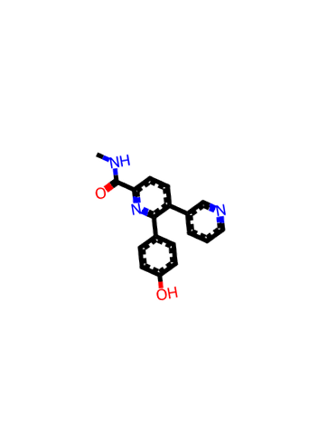 CNC(=O)c1ccc(-c2cccnc2)c(-c2ccc(O)cc2)n1